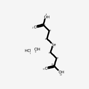 Cl.Cl.O=C(O)CC[Se]CCC(=O)O